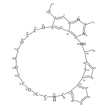 COc1cc2nc(C)nc3c2cc1OCCOCCOCCOCCNCc1ccccc1-c1ccc(s1)C(C)N3